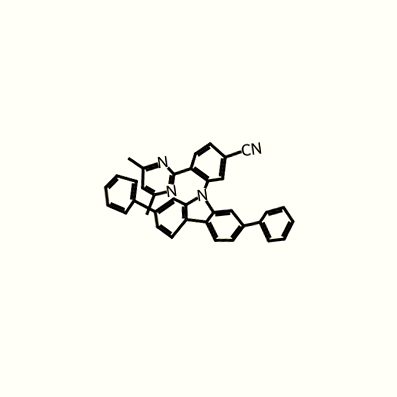 Cc1cc(C)nc(-c2ccc(C#N)cc2-n2c3cc(-c4ccccc4)ccc3c3ccc(-c4ccccc4)cc32)n1